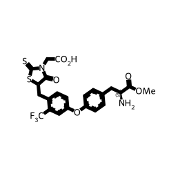 COC(=O)[C@@H](N)Cc1ccc(Oc2ccc(CC3SC(=S)N(CC(=O)O)C3=O)c(C(F)(F)F)c2)cc1